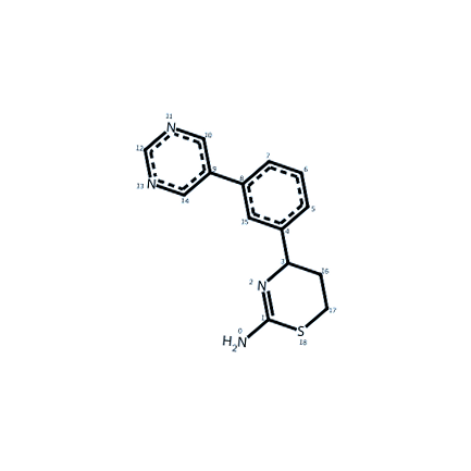 NC1=NC(c2cccc(-c3cncnc3)c2)CCS1